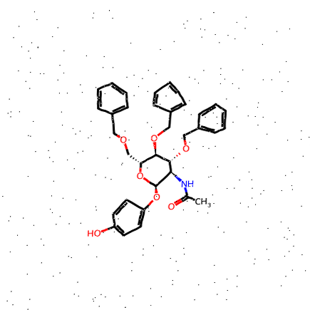 CC(=O)N[C@H]1[C@@H](Oc2ccc(O)cc2)O[C@H](COCc2ccccc2)[C@@H](OCc2ccccc2)[C@@H]1OCc1ccccc1